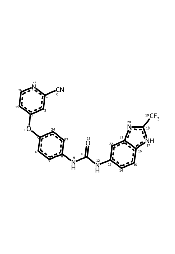 N#Cc1cc(Oc2ccc(NC(=O)Nc3ccc4[nH]c(C(F)(F)F)nc4c3)cc2)ccn1